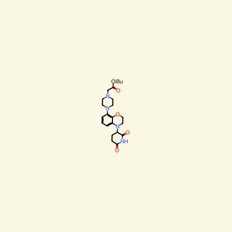 CC(C)COC(=O)CN1CCN(c2cccc3c2OCCN3C2CCC(=O)NC2=O)CC1